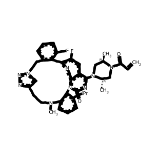 C=CC(=O)N1C[C@H](C)N(c2nc(=O)n3c4nc(c(F)cc24)-c2c(F)cccc2Cn2cc(nn2)CCN(C)c2cccc(C(C)C)c2-3)C[C@H]1C